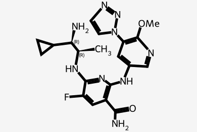 COc1ncc(Nc2nc(N[C@H](C)[C@H](N)C3CC3)c(F)cc2C(N)=O)cc1-n1ccnn1